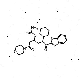 NC(=O)OC(CC(=O)N1CCOCC1)CC(C(=O)c1nc2ccccc2o1)C1CCCCC1